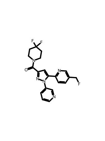 O=C(c1cc(-c2ccc(CF)cn2)n(-c2cccnc2)n1)N1CCC(F)(F)CC1